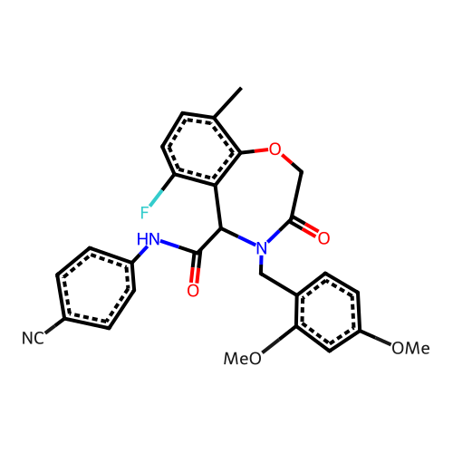 COc1ccc(CN2C(=O)COc3c(C)ccc(F)c3C2C(=O)Nc2ccc(C#N)cc2)c(OC)c1